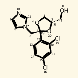 OC[C@H]1CO[C@@](Cn2ccnc2)(c2ccc(Cl)cc2Cl)O1